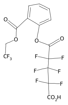 O=C(OCC(F)(F)F)c1ccccc1OC(=O)C(F)(F)C(F)(F)C(F)(F)C(=O)O